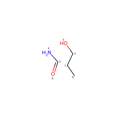 CCCO.NC=O